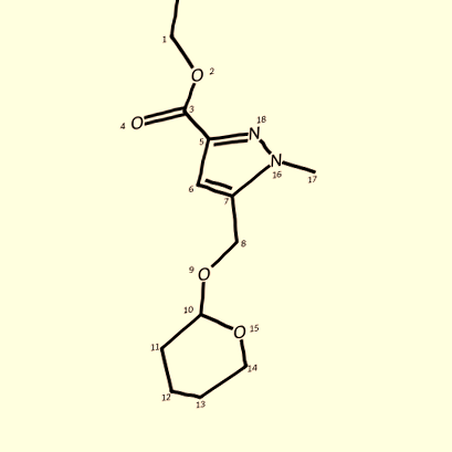 CCOC(=O)c1cc(COC2CCCCO2)n(C)n1